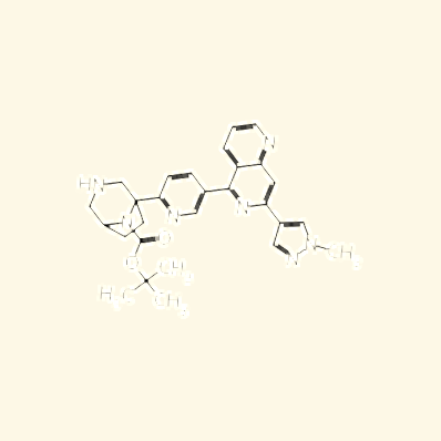 Cn1cc(-c2cc3ncccc3c(-c3ccc(C45CCC(CNC4)N5C(=O)OC(C)(C)C)nc3)n2)cn1